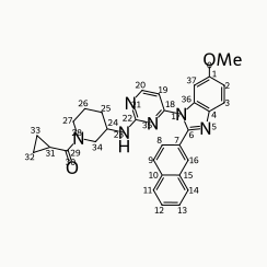 COc1ccc2nc(-c3ccc4ccccc4c3)n(-c3ccnc(NC4CCCN(C(=O)C5CC5)C4)n3)c2c1